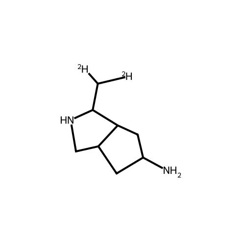 [2H]C([2H])C1NCC2CC(N)CC21